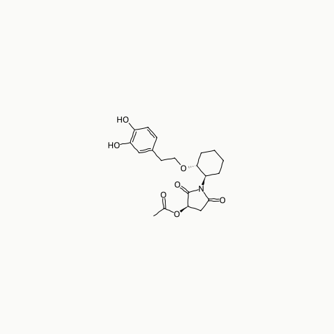 CC(=O)O[C@@H]1CC(=O)N([C@@H]2CCCC[C@H]2OCCc2ccc(O)c(O)c2)C1=O